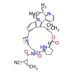 CCn1c(-c2cccnc2[C@H](C)OC)c2c3cc(ccc31)-c1csc(n1)C[C@H](NC(=O)[C@@H]1[C@@H](C)[C@H]1C#N)C(=O)N1CCC[C@H](N1)C(=O)OCC(C)(C)C2